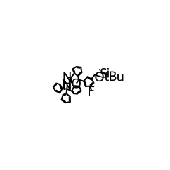 CC(C)(C)[Si](C)(C)OCc1cc(F)cc(C(O)c2ccccc2-c2cn(C(c3ccccc3)(c3ccccc3)c3ccccc3)cn2)c1